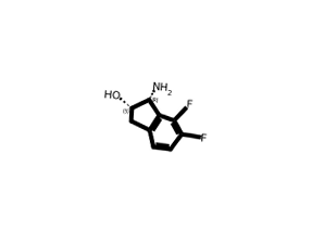 N[C@@H]1c2c(ccc(F)c2F)C[C@@H]1O